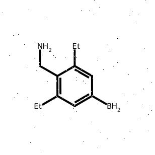 Bc1cc(CC)c(CN)c(CC)c1